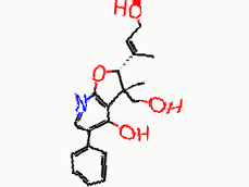 C/C(=C\CO)[C@H]1Oc2ncc(-c3ccccc3)c(O)c2[C@@]1(C)CO